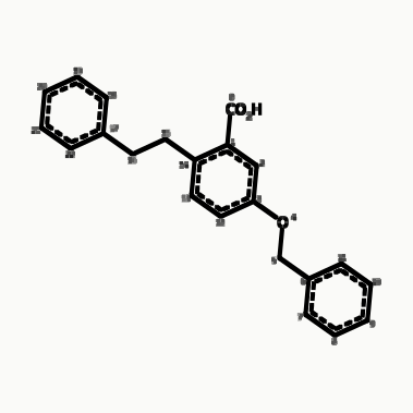 O=C(O)c1cc(OCc2ccccc2)ccc1CCc1ccccc1